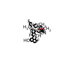 C#Cc1c(F)ccc2cc(O)cc(-c3ncc4c(N5C[C@H]6CC(C#N)[C@@H](C5)N6C(=O)C=C)nc(OC[C@]5(C)C[C@@H](F)CN5c5ccc(N6CCOC[C@H]6C)nc5)nc4c3F)c12